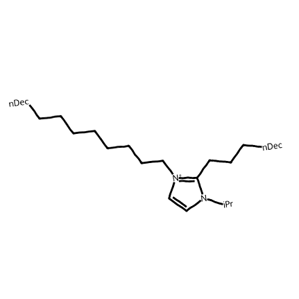 CCCCCCCCCCCCCCCCCC[n+]1ccn(C(C)C)c1CCCCCCCCCCCCC